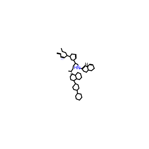 C=C/C=C\C(CCC)C1CC=CC(C(CCC(C)[C@H]2CCC(C3CCC(C4CCCCC4)CC3)C3CCCCC32)CNC2=C[C@@H]3C=CCCC3CC2)C1